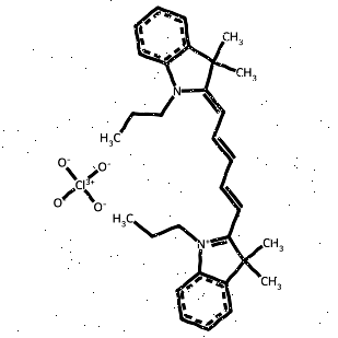 CCCN1C(=CC=CC=CC2=[N+](CCC)c3ccccc3C2(C)C)C(C)(C)c2ccccc21.[O-][Cl+3]([O-])([O-])[O-]